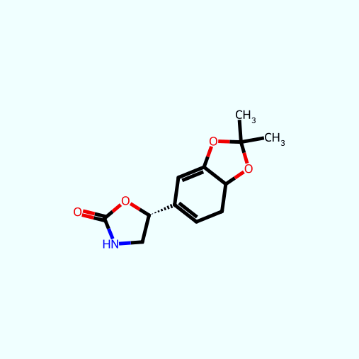 CC1(C)OC2=CC([C@@H]3CNC(=O)O3)=CCC2O1